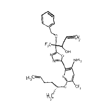 C=CCC[C@@H](C)Oc1nc(-c2nnc(C(OCc3ccccc3)(C(O)C=C)C(F)(F)F)o2)c(N)cc1C(F)(F)F